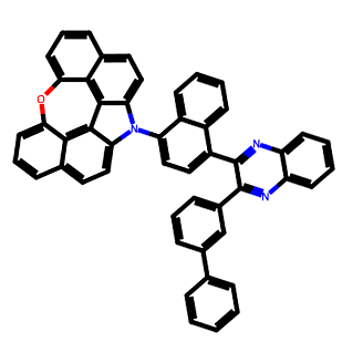 c1ccc(-c2cccc(-c3nc4ccccc4nc3-c3ccc(-n4c5ccc6cccc7oc8cccc9ccc4c(c98)c5c67)c4ccccc34)c2)cc1